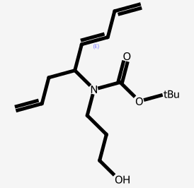 C=C/C=C/C(CC=C)N(CCCO)C(=O)OC(C)(C)C